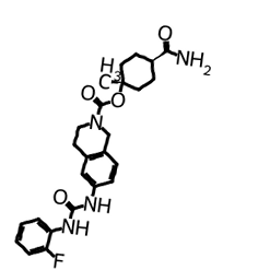 C[C@]1(OC(=O)N2CCc3cc(NC(=O)Nc4ccccc4F)ccc3C2)CC[C@H](C(N)=O)CC1